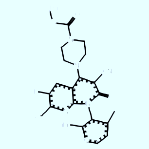 Cc1ccnc(C(C)C)c1-n1c(=O)c(C#N)c(N2CCN(C(=O)OC(C)(C)C)CC2)c2cc(F)c(Cl)nc21